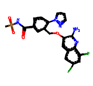 CS(=O)(=O)NC(=O)c1ccc(-n2cccn2)c(COc2cc3cc(F)cc(F)c3nc2N)c1